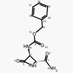 NC(=O)[C@@H]1NC(=O)[C@H]1NC(=O)OCc1ccccc1